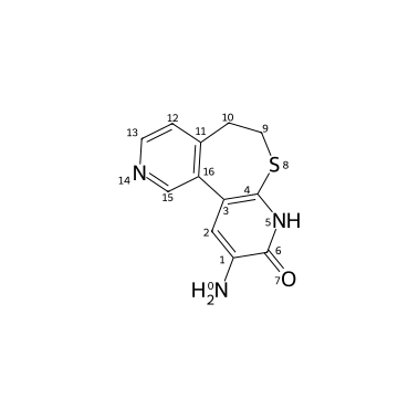 Nc1cc2c([nH]c1=O)SCCc1ccncc1-2